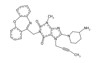 CC#CCn1c(N2CCCC(N)C2)nc2c1c(=O)n(CC1=Nc3ccccc3Oc3ccccc31)c(=O)n2C